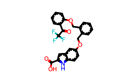 O=C(O)c1cc2cc(OCc3ccccc3COc3ccccc3C(=O)C(F)(F)F)ccc2[nH]1